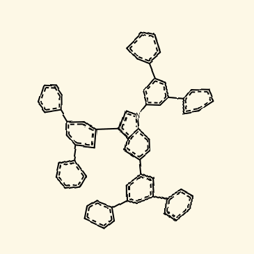 c1ccc(-c2cc(-c3ccccc3)cc(-c3ccc4c(c3)c(-c3cc(-c5ccccc5)cc(-c5ccccc5)c3)cn4-c3cc(-c4ccccc4)cc(-c4ccccc4)c3)c2)cc1